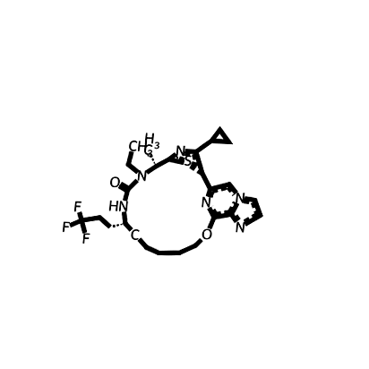 CCN1C(=O)N[C@@H](CCC(F)(F)F)CCCCCOc2nc(cn3ccnc23)-c2sc(nc2C2CC2)[C@H]1C